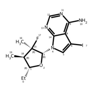 CC[C@H]1O[C@@H](n2cc(I)c3c(N)ncnc32)[C@](C)(F)[C@@H]1C